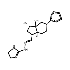 Br.C[C@]12CC[C@H](c3ccccc3)C[C@@]1(O)CC[C@@H]2C=NNC1=NCCN1